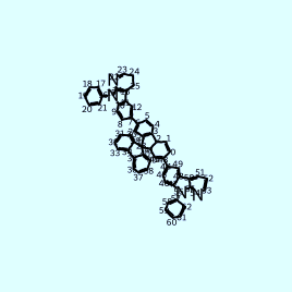 C1=CC2c3ccc(-c4ccc5c(c4)c4c(n5-c5ccccc5)N=CCC4)cc3C3(c4ccccc4-c4ccccc43)C2C=C1c1ccc2c(c1)c1cccnc1n2-c1ccccc1